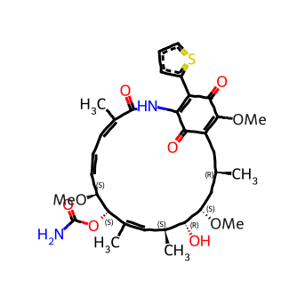 COC1=C2C[C@@H](C)C[C@H](OC)[C@H](O)[C@@H](C)C=C(C)[C@H](OC(N)=O)[C@@H](OC)C=CC=C(C)C(=O)NC(=C(c3cccs3)C1=O)C2=O